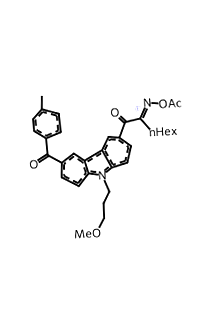 CCCCCC/C(=N\OC(C)=O)C(=O)c1ccc2c(c1)c1cc(C(=O)c3ccc(C)cc3)ccc1n2CCCOC